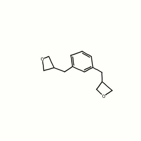 c1cc(CC2COC2)cc(CC2COC2)c1